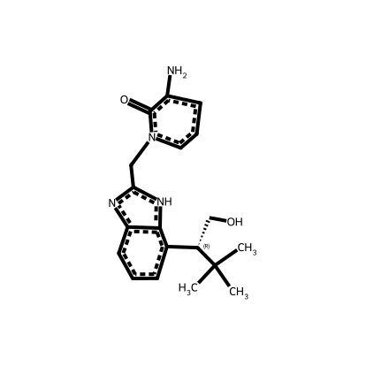 CC(C)(C)[C@@H](CO)c1cccc2nc(Cn3cccc(N)c3=O)[nH]c12